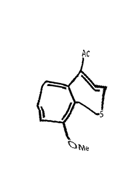 COc1cccc2c(C(C)=O)csc12